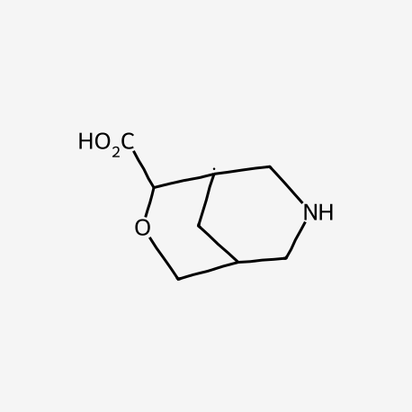 O=C(O)C1OCC2CNC[C]1C2